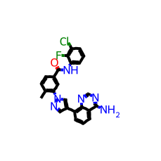 Cc1ccc(C(=O)Nc2cccc(Cl)c2F)cc1-n1cc(-c2cccc3c(N)ncnc23)cn1